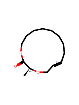 C[C@@H]1OC/C=C/CCCCCCCCOC1=O